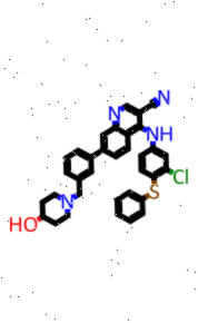 N#Cc1cnc2cc(-c3cccc(CN4CCC(O)CC4)c3)ccc2c1Nc1ccc(Sc2ccccc2)c(Cl)c1